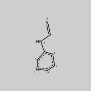 S=[C]Nc1cccnc1